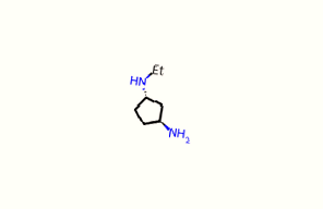 CCN[C@H]1CC[C@H](N)C1